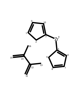 C1=CC[C]([Zr][C]2=CC=CC2)=C1.C=C(C)C(=C)C